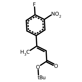 CC(=CC(=O)OC(C)(C)C)c1ccc(F)c([N+](=O)[O-])c1